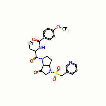 CC(C)CC(NC(=O)c1ccc(OC(F)(F)F)cc1)C(=O)N1CCC2C1C(=O)CN2S(=O)(=O)Cc1cccnc1